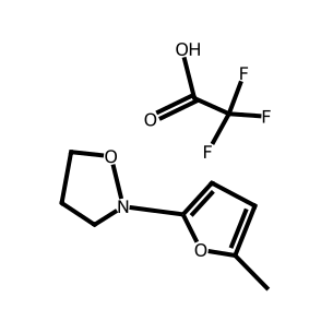 Cc1ccc(N2CCCO2)o1.O=C(O)C(F)(F)F